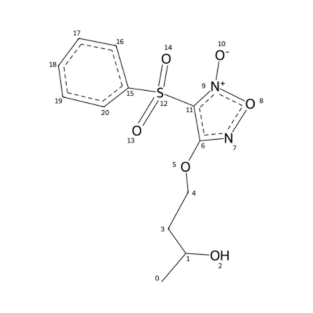 CC(O)CCOc1no[n+]([O-])c1S(=O)(=O)c1ccccc1